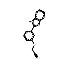 C#CCOc1cccc(-c2nc3nccnc3[nH]2)c1